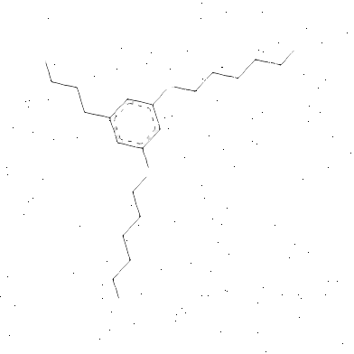 [CH2]CCCc1cc(SCCCCCC)cc(SCCCCCC)c1